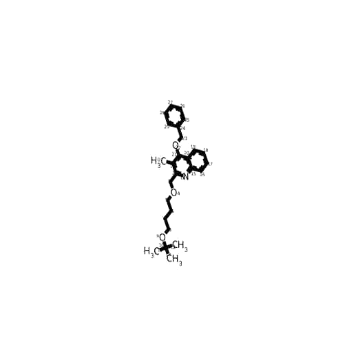 Cc1c(COCCCCOC(C)(C)C)nc2ccccc2c1OCc1ccccc1